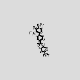 CCCc1ccc(-c2ccc(C(=O)OC3CCC(CCC)OC3)cc2)c(C(F)(F)F)c1F